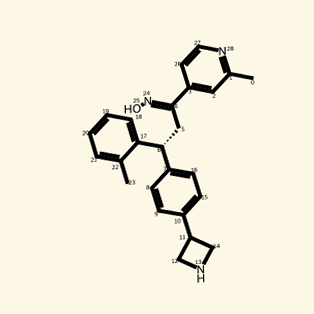 Cc1cc(/C(C[C@H](c2ccc(C3CNC3)cc2)c2ccccc2C)=N/O)ccn1